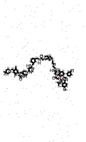 COc1ccc(C2=N[C@@H](c3ccc(Cl)cc3)[C@@H](c3ccc(Cl)cc3)N2C(=O)N2CCN(CC(=O)NCCOCCN3CC[C@@]4(CCN(CC(=O)NCc5cccc(CNc6cc(N7CCC8(CC7)CN(c7cc(F)c(CN9CCC(C)(C)CC9)cc7F)CC(=O)N8)ncn6)c5)C4)C3)C(=O)C2)c(OC(C)C)c1